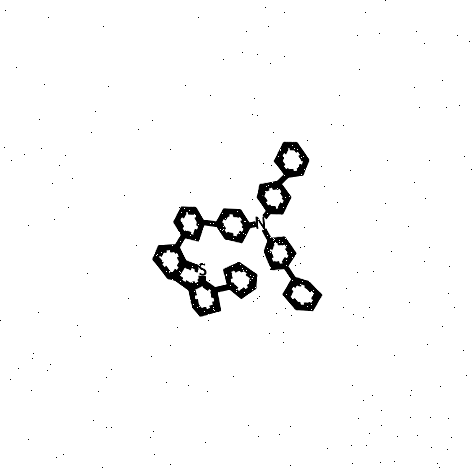 c1ccc(-c2ccc(N(c3ccc(-c4ccccc4)cc3)c3ccc(-c4cccc(-c5cccc6c5sc5c(-c7ccccc7)cccc56)c4)cc3)cc2)cc1